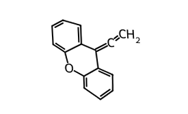 C=C=C1c2ccccc2Oc2ccccc21